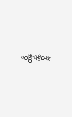 Cc1nc(-c2ccc(S(=O)(=O)N3CCN(c4nc(C5(c6ccccc6)CCC(=O)CC5)ns4)CC3C)cc2)cs1